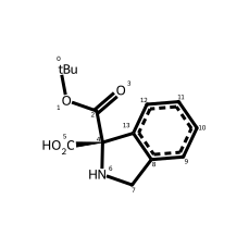 CC(C)(C)OC(=O)[C@@]1(C(=O)O)NCc2ccccc21